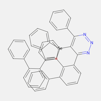 c1ccc(-c2ccccc2-c2c(-c3c(-c4ccccc4)cccc3-c3nnnc(-c4ccccc4)c3-c3ccccc3)[se]c3ccccc23)cc1